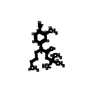 CCCCN(C(=O)CC(C)(C)C)c1ccc(Br)c(C)c1